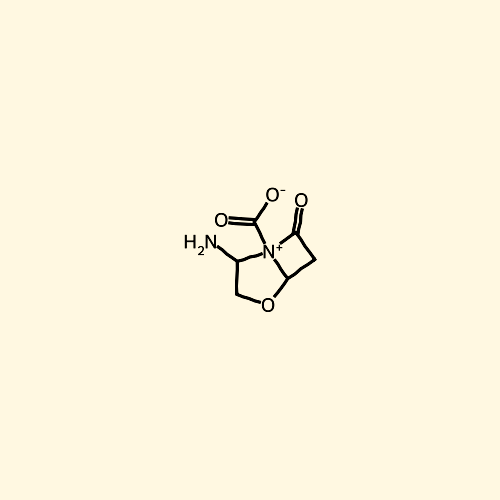 NC1COC2CC(=O)[N+]12C(=O)[O-]